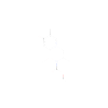 CCC(Cn1ccc(=O)c(C(=O)O)c1)N(OC(C)(C)C)C(=O)OC(C)(C)C